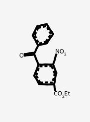 CCOC(=O)c1ccc(C(=O)c2ccccc2)c([N+](=O)[O-])c1